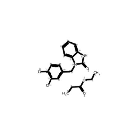 CCOC(=O)CC.O=c1[nH]c2ccccc2n1Cc1ccc(Cl)c(Cl)c1